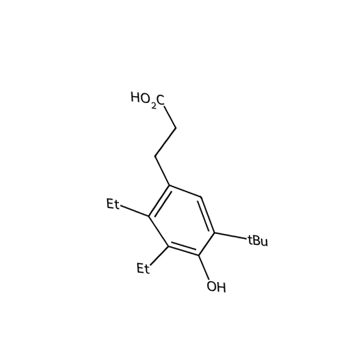 CCc1c(CCC(=O)O)cc(C(C)(C)C)c(O)c1CC